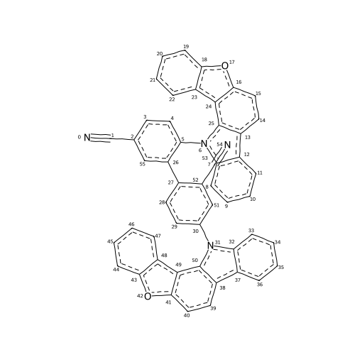 N#Cc1ccc(-n2c3ccccc3c3ccc4oc5ccccc5c4c32)c(-c2ccc(-n3c4ccccc4c4ccc5oc6ccccc6c5c43)cc2C#N)c1